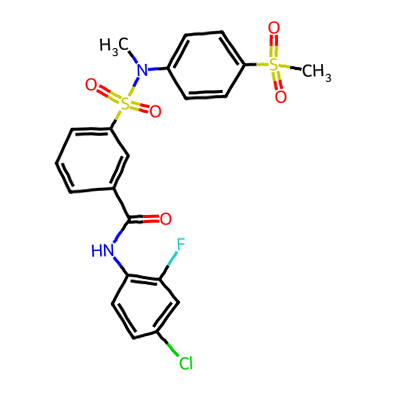 CN(c1ccc(S(C)(=O)=O)cc1)S(=O)(=O)c1cccc(C(=O)Nc2ccc(Cl)cc2F)c1